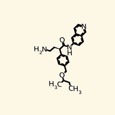 CCC(C)OCc1ccc([C@@H](CCN)C(=O)Nc2ccc3cnccc3c2)cc1